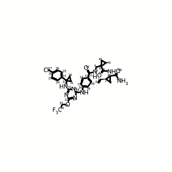 C=C[C@@H]1C[C@]1(NC(=O)C1(CNC(=O)c2ccc(Nc3nc(NC4(c5ccc(Cl)cc5)CC4)nc(OCC(F)(F)F)n3)cc2)CC1)C(N)=O